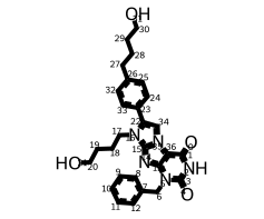 O=c1[nH]c(=O)n(Cc2ccccc2)c2nc3n(CCCCO)c(-c4ccc(CCCCO)cc4)cn3c12